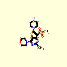 Cc1nc(N2CCOCC2)c2sc(N3CCNCC3)c(S(C)(=O)=O)c2n1